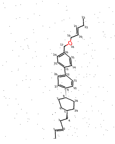 C/C=C/CC[C@H]1CC[C@H](c2ccc(-c3ccc(COC/C=C/CC)cc3)cc2)CC1